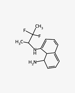 CC(NC1=CC=CC2=CC=CC(N)C21)C(C)(F)F